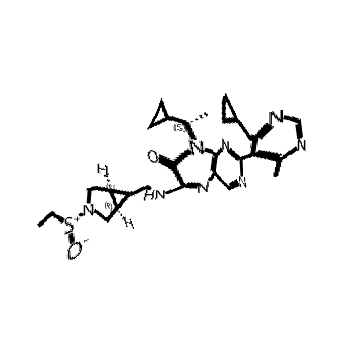 CC[S+]([O-])N1C[C@@H]2C(CNc3nc4cnc(-c5c(C)ncnc5C5CC5)nc4n([C@@H](C)C4CC4)c3=O)[C@@H]2C1